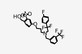 CS(=O)(=O)c1cc(OCCCN(Cc2cccc(C(F)(F)F)c2)CC(F)(F)c2ccc(F)cc2)ccc1CO